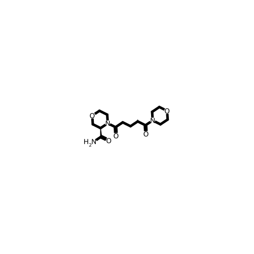 NC(=O)[C@H]1COCCN1C(=O)CC[CH]C(=O)N1CCOCC1